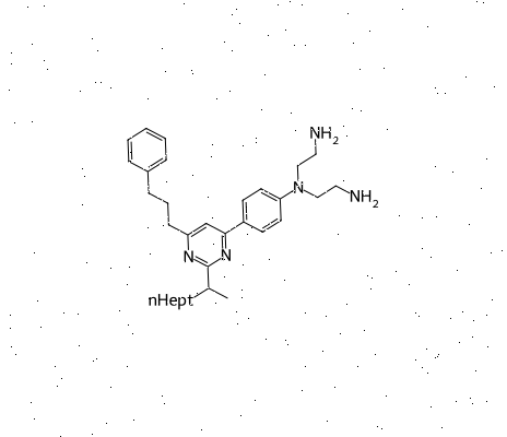 CCCCCCCC(C)c1nc(CCCc2ccccc2)cc(-c2ccc(N(CCN)CCN)cc2)n1